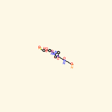 CPOCCCCCCNC(=O)CCCCC(=O)N1Cc2ccccc2/C(N)=C(/NCCOc2ccc(C(O)Oc3ccc(CSP=O)cc3)cc2)c2ccccc21